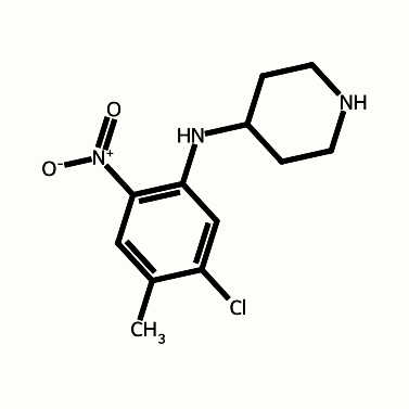 Cc1cc([N+](=O)[O-])c(NC2CCNCC2)cc1Cl